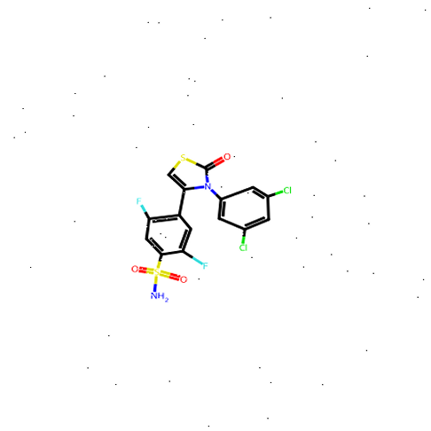 NS(=O)(=O)c1cc(F)c(-c2csc(=O)n2-c2cc(Cl)cc(Cl)c2)cc1F